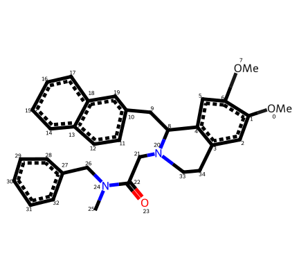 COc1cc2c(cc1OC)C(Cc1ccc3ccccc3c1)N(CC(=O)N(C)Cc1ccccc1)CC2